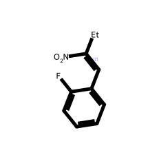 CC/C(=C/c1ccccc1F)[N+](=O)[O-]